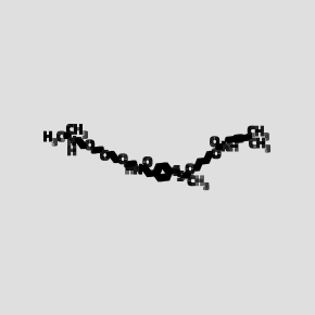 CC(C)C#CCNC(=O)OCCCCO[C@@H](C)SSc1ccc(CC(=O)NCCOCCOCCOCCNC(C)C)cc1